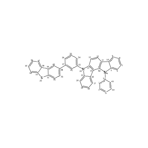 c1ccc(-n2c3ccccc3c3ccc4c(c5ccccc5n4-c4cccc(-c5ccc6sc7ccccc7c6c5)c4)c32)cc1